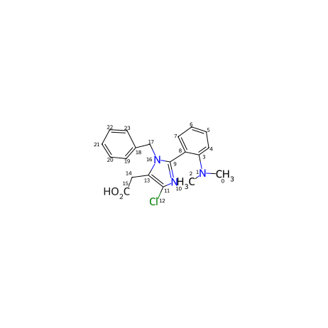 CN(C)c1ccccc1-c1nc(Cl)c(CC(=O)O)n1Cc1ccccc1